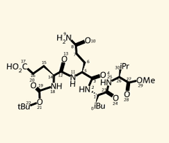 CC[C@H](C)[C@H](NC(=O)[C@H](CCC(N)=O)NC(=O)[C@H](CCC(=O)O)NC(=O)OC(C)(C)C)C(=O)N[C@H](C(=O)OC)C(C)C